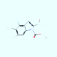 CC(C)(C)OC(=O)n1c(B(O)O)cc2c(F)c(Br)c(F)cc21